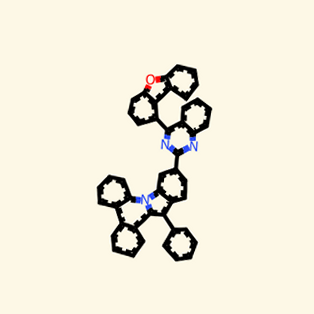 c1ccc(-c2c3ccc(-c4nc(-c5cccc6oc7ccccc7c56)c5ccccc5n4)cc3n3c4ccccc4c4ccccc4c23)cc1